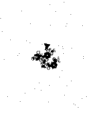 CN(C)C(=O)c1cccc(C(=O)CN2CCSC2C(=O)O[C@@H](Cc2c(Cl)c[n+]([O-])cc2Cl)c2ccc(OC(F)F)c(OCC3CC3)c2)c1